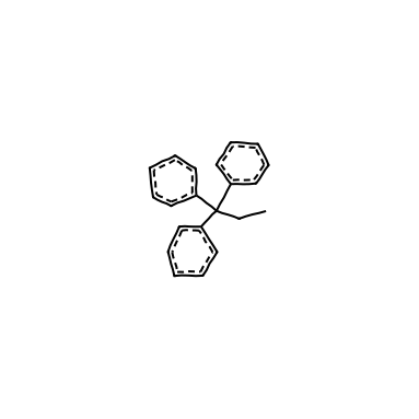 CCC(c1ccccc1)(c1ccccc1)c1ccccc1